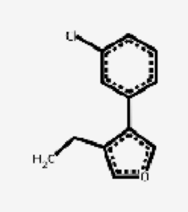 [CH2]Cc1cocc1-c1cccc(Cl)c1